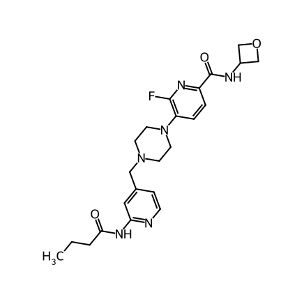 CCCC(=O)Nc1cc(CN2CCN(c3ccc(C(=O)NC4COC4)nc3F)CC2)ccn1